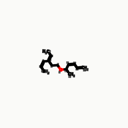 B/C=C\C(=C/C)CCOC(C)/C=C\C=C